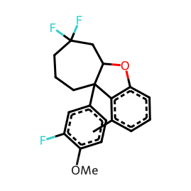 COc1ccc(C23CCCC(F)(F)CC2Oc2cccc(C)c23)cc1F